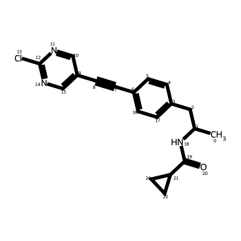 CC(Cc1ccc(C#Cc2cnc(Cl)nc2)cc1)NC(=O)C1CC1